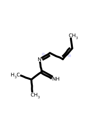 C/C=C\C=N/C(=N)C(C)C